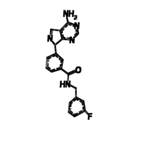 Nc1ncnc2c1C=NC2c1cccc(C(=O)NCc2cccc(F)c2)c1